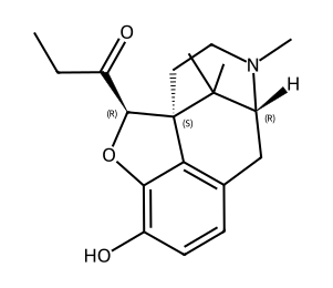 CCC(=O)[C@@H]1Oc2c(O)ccc3c2[C@@]12CCN(C)[C@H](C3)C2(C)C